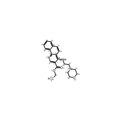 CCOC(=O)c1cnc2c(ccc3ccccc32)c1NCCN1CCOCC1